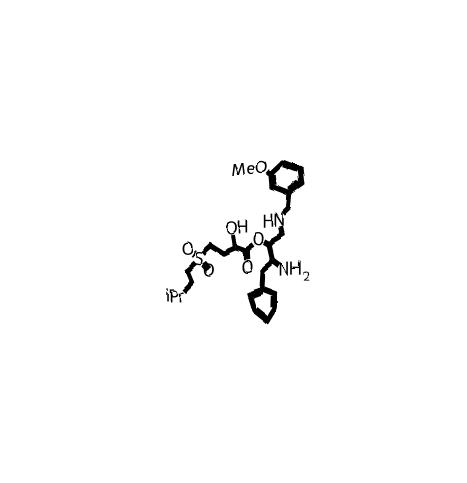 COc1cccc(CNCC(OC(=O)C(O)CCS(=O)(=O)CCC(C)C)C(N)Cc2ccccc2)c1